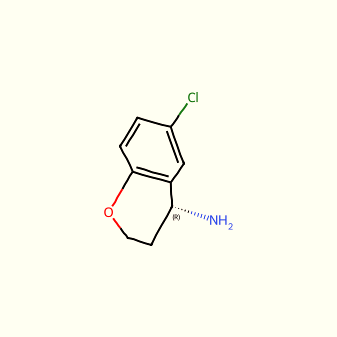 N[C@@H]1CCOc2ccc(Cl)cc21